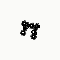 O=C(COc1cnccc1C1=CCC(OCC2CCCCN2C(=O)OCc2ccccc2)CC1)Oc1ccccc1